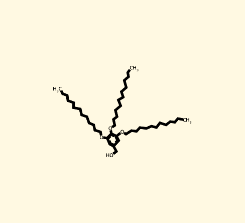 CCCCCCCCCCCCCOc1cc(CO)cc(OCCCCCCCCCCCCC)c1OCCCCCCCCCCCCC